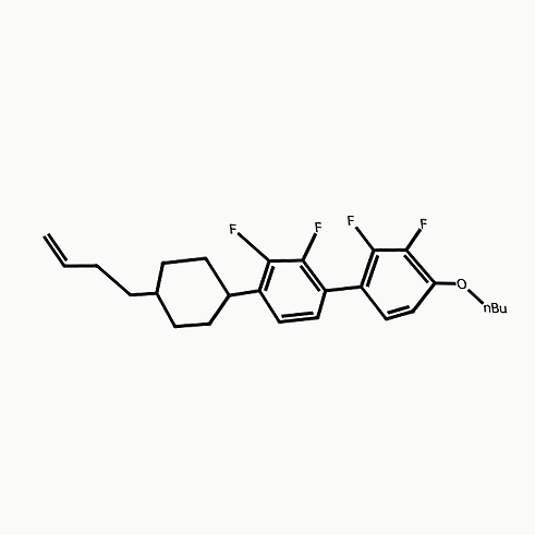 C=CCCC1CCC(c2ccc(-c3ccc(OCCCC)c(F)c3F)c(F)c2F)CC1